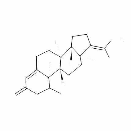 CC(C(=O)O)=C1CC[C@H]2[C@@H]3CCC4=CC(=O)CC(Cl)[C@]4(C)[C@H]3CC[C@]12C